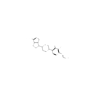 CCOc1ccc(C2CCC(C3CCC4C(C)=CCC43)CC2)c(F)c1F